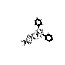 C=C.CCC.OP(O)(O)=S.OP(O)(O)=S.c1ccc(SOSc2ccccc2)cc1